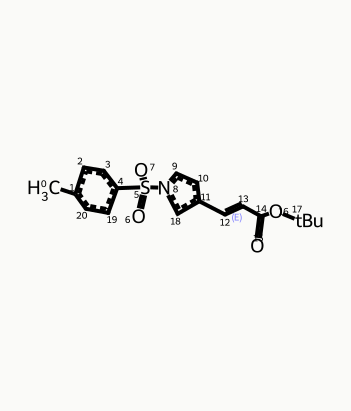 Cc1ccc(S(=O)(=O)n2ccc(/C=C/C(=O)OC(C)(C)C)c2)cc1